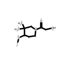 CC1(C)CN(C(=O)CO)CCC1OI